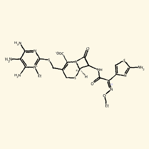 CCO/N=C(\C(=O)NC1C(=O)N2C(C(=O)[O-])=C(CSc3nc(N)c(N)c(N)[n+]3CC)CS[C@H]12)c1csc(N)n1